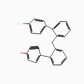 Oc1c#cc(-c2ccccc2Cc2ccccc2-c2ccc(O)cc2)cc1